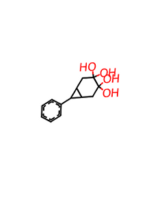 OC1(O)CC2C(CC1(O)O)C2c1ccccc1